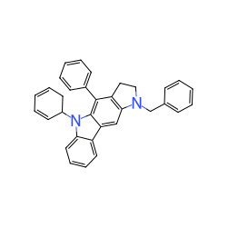 C1=CCC(n2c3ccccc3c3cc4c(c(-c5ccccc5)c32)CCN4Cc2ccccc2)C=C1